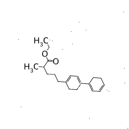 CCOC(=O)C(C)CCCC1=CC=C(C2=CC=CCC2)CC1